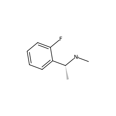 C[N][C@H](C)c1ccccc1F